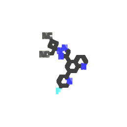 N#CC[C@]1(n2ncc(-c3cc(-c4ccc(F)cn4)cc4ncccc34)n2)C[C@H](C#N)C1